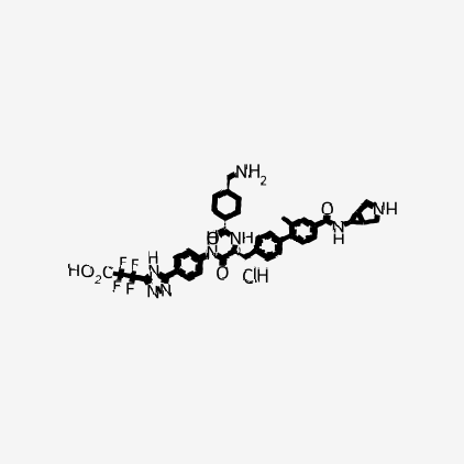 Cc1cc(C(=O)NC2C3CNCC32)ccc1-c1ccc(C[C@H](NC(=O)[C@H]2CC[C@H](CN)CC2)C(=O)Nc2ccc(-c3nnc(C(F)(F)C(F)(F)C(=O)O)[nH]3)cc2)cc1.Cl